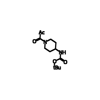 CC(=O)C(=O)N1CCC(NC(=O)OC(C)(C)C)CC1